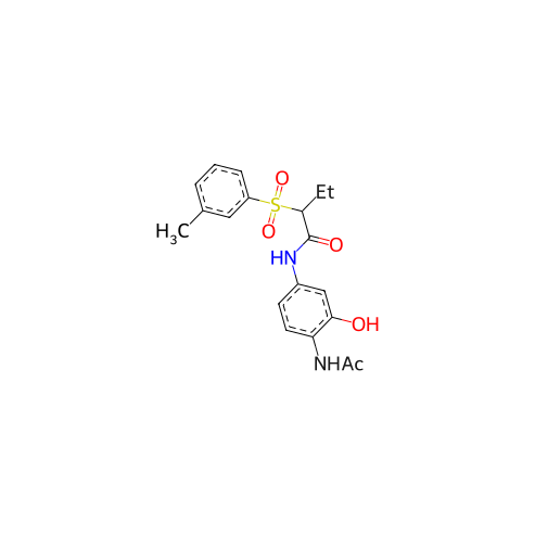 CCC(C(=O)Nc1ccc(NC(C)=O)c(O)c1)S(=O)(=O)c1cccc(C)c1